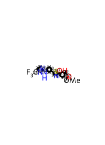 COC(=O)[C@@H]1CC[C@@](O)(c2ncc(-c3cccc(Nc4nccc(C(F)(F)F)n4)c3)s2)CC1(C)C